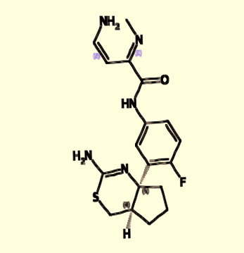 C/N=C(\C=C/N)C(=O)Nc1ccc(F)c([C@]23CCC[C@H]2CSC(N)=N3)c1